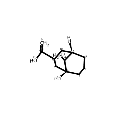 C=C(O)C1C[C@H]2CCC[C@@H](C1)C2N